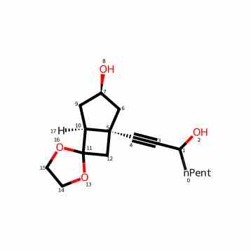 CCCCCC(O)C#C[C@@]12C[C@H](O)C[C@@H]1C1(C2)OCCO1